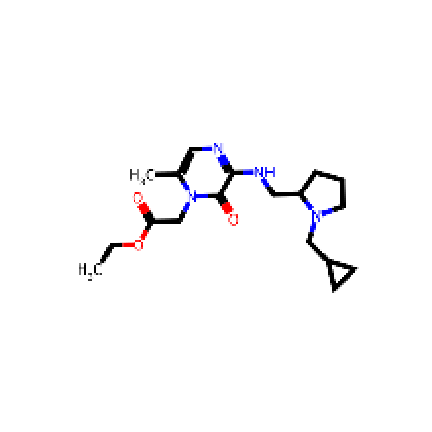 CCOC(=O)Cn1c(C)cnc(NCC2CCCN2CC2CC2)c1=O